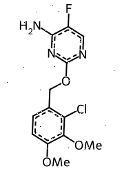 COc1ccc(COc2ncc(F)c(N)n2)c(Cl)c1OC